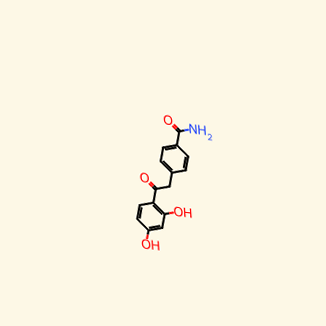 NC(=O)c1ccc(CC(=O)c2ccc(O)cc2O)cc1